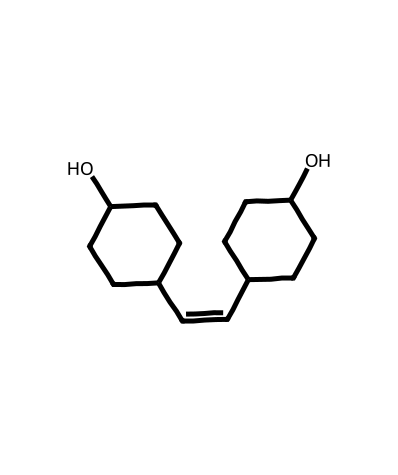 OC1CCC(/C=C\C2CCC(O)CC2)CC1